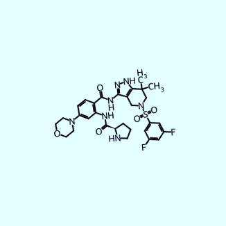 CC1(C)CN(S(=O)(=O)c2cc(F)cc(F)c2)Cc2c(NC(=O)c3ccc(N4CCOCC4)cc3NC(=O)[C@H]3CCCN3)n[nH]c21